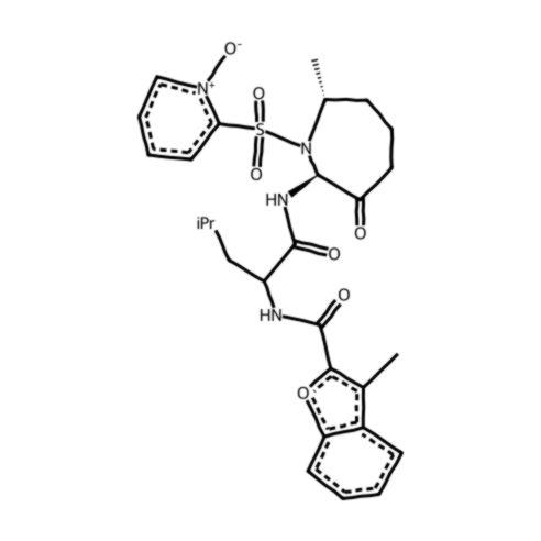 Cc1c(C(=O)NC(CC(C)C)C(=O)N[C@@H]2C(=O)CCC[C@@H](C)N2S(=O)(=O)c2cccc[n+]2[O-])oc2ccccc12